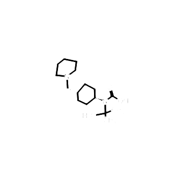 CC(C)(C)N(C(=O)O)[C@H]1CC[C@H](CN2CCCCC2)CC1